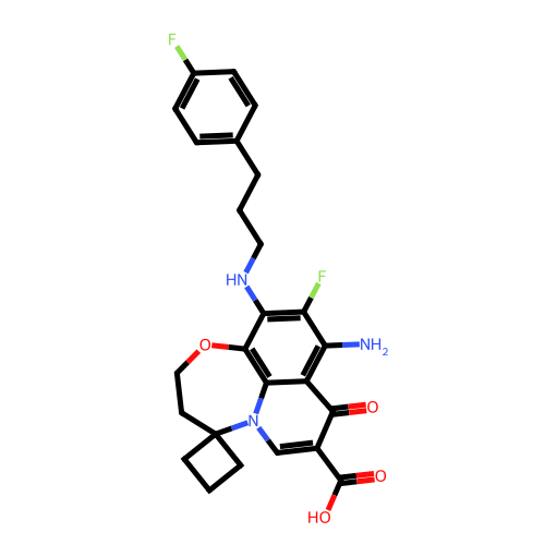 Nc1c(F)c(NCCCc2ccc(F)cc2)c2c3c1c(=O)c(C(=O)O)cn3C1(CCC1)CCO2